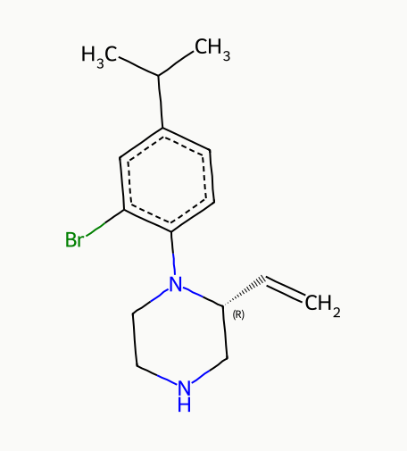 C=C[C@@H]1CNCCN1c1ccc(C(C)C)cc1Br